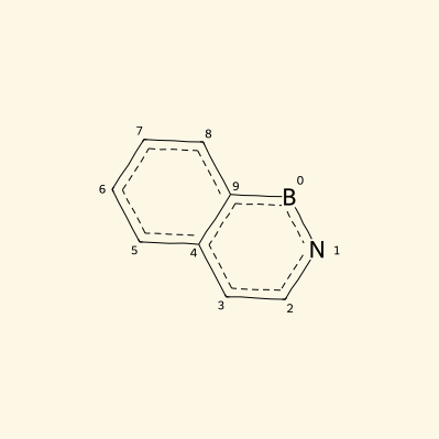 b1nccc2ccccc12